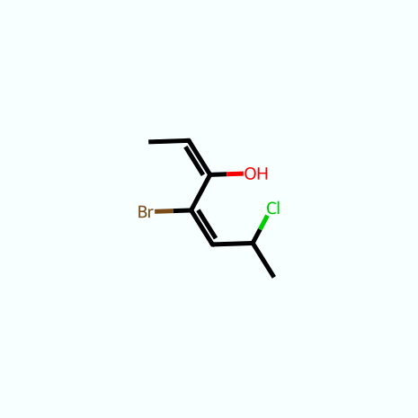 C/C=C(O)\C(Br)=C/C(C)Cl